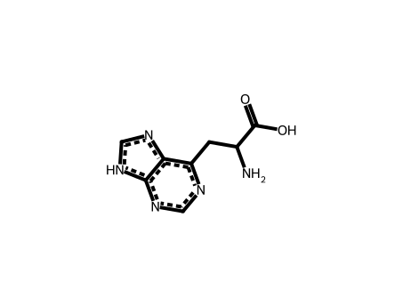 NC(Cc1ncnc2[nH]cnc12)C(=O)O